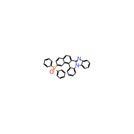 O=P(c1ccccc1)(c1ccccc1)c1ccc2ccc3c(c2c1)c1ccccc1n1c2ccccc2nc31